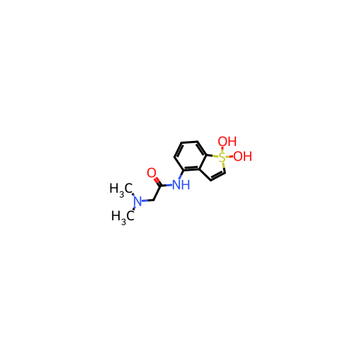 CN(C)CC(=O)Nc1cccc2c1C=CS2(O)O